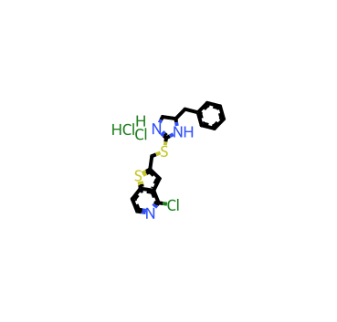 Cl.Cl.Clc1nccc2sc(CSC3=NCC(Cc4ccccc4)N3)cc12